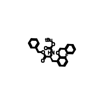 CC(C)(C)OC(=O)N[C@@H](Cc1cccc(F)c1OCc1ccccc1)C(=O)OCc1ccccc1